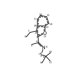 CCc1c(/C(C)=N/SC(C)(C)C)oc2ccccc12